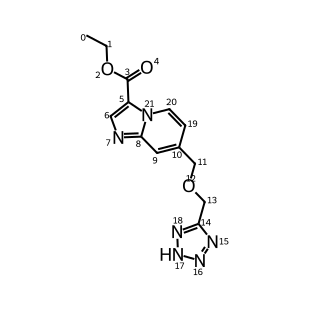 CCOC(=O)c1cnc2cc(COCc3nn[nH]n3)ccn12